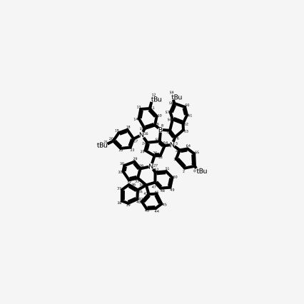 CC(C)(C)c1ccc(N2C3=C(B4c5cc(C(C)(C)C)ccc5N(c5ccc(C(C)(C)C)cc5)c5cc(N6c7ccccc7C(c7ccccc7)(c7ccccc7)c7ccccc76)cc2c54)c2cc(C(C)(C)C)ccc2C3)cc1